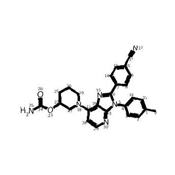 Cc1ccc(-n2c(-c3ccc(C#N)cc3)nc3c(N4CCCC(OC(N)=O)C4)ccnc32)cc1